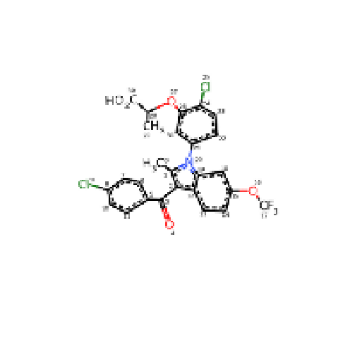 Cc1c(C(=O)c2ccc(Cl)cc2)c2ccc(OC(F)(F)F)cc2n1-c1ccc(Cl)c(O[C@@H](C)C(=O)O)c1